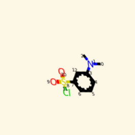 CN(C)c1cccc(S(=O)(=O)Cl)c1